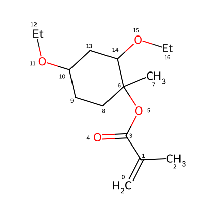 C=C(C)C(=O)OC1(C)CCC(OCC)CC1OCC